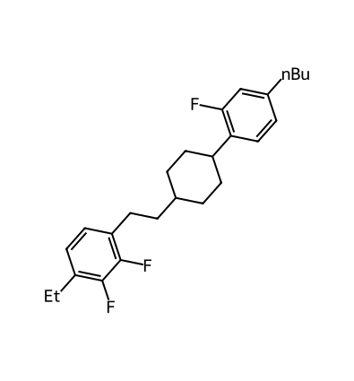 CCCCc1ccc(C2CCC(CCc3ccc(CC)c(F)c3F)CC2)c(F)c1